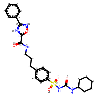 O=C(NC1CCCCC1)NS(=O)(=O)c1ccc(CCCNC(=O)c2nc(-c3ccccc3)no2)cc1